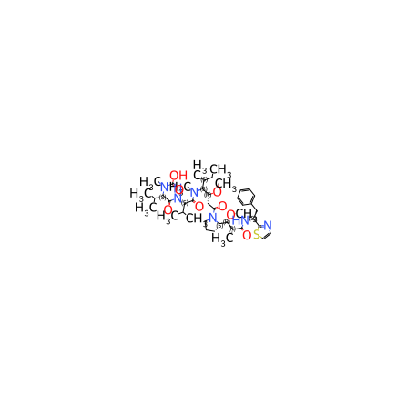 CC[C@H](C)[C@@H]([C@@H](CC(=O)N1CCC[C@H]1[C@H](OC)[C@@H](C)C(=O)N[C@@H](Cc1ccccc1)c1nccs1)OC)N(C)C(=O)[C@@H](NC(=O)[C@H](C(C)C)N(C)C(=O)O)C(C)C